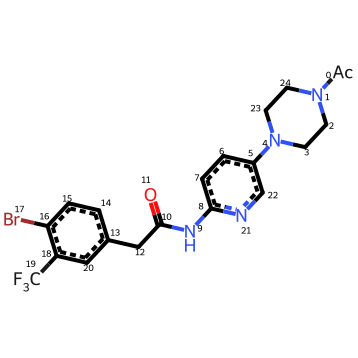 CC(=O)N1CCN(c2ccc(NC(=O)Cc3ccc(Br)c(C(F)(F)F)c3)nc2)CC1